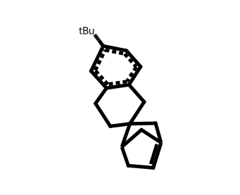 CC(C)(C)c1ccc2c(c1)CCC1(CC3=CCC1C3)C2